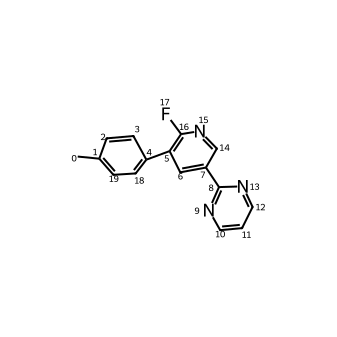 Cc1ccc(-c2cc(-c3ncccn3)cnc2F)cc1